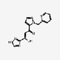 O=C(C=C(O)c1nc[nH]n1)c1ccnn1Cc1ccccn1